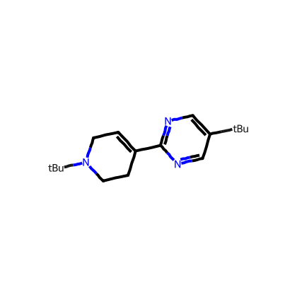 CC(C)(C)c1cnc(C2=CCN(C(C)(C)C)CC2)nc1